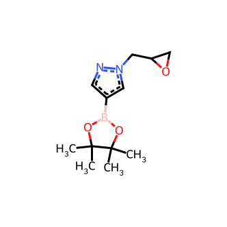 CC1(C)OB(c2cnn(CC3CO3)c2)OC1(C)C